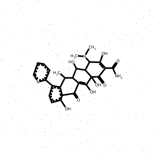 CC1c2c(-c3ccccn3)ccc(O)c2C(=O)C2=C(O)C3(O)C(=O)C(C(N)=O)=C(O)C(N(C)C)C3C(O)C21